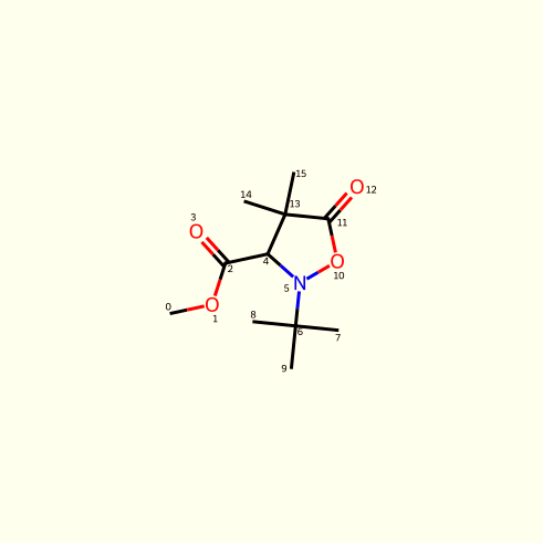 COC(=O)C1N(C(C)(C)C)OC(=O)C1(C)C